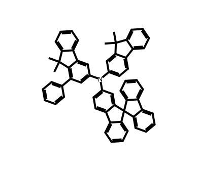 CC1(C)c2ccccc2-c2ccc(N(c3cc(-c4ccccc4)c4c(c3)-c3ccccc3C4(C)C)c3ccc4c(c3)C3(c5ccccc5-c5ccccc53)c3ccccc3-4)cc21